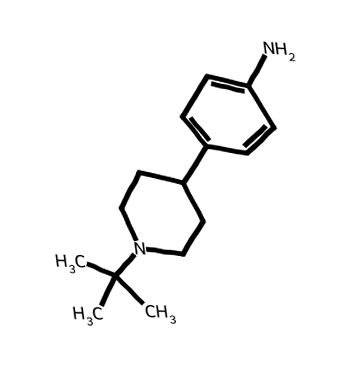 CC(C)(C)N1CCC(c2ccc(N)cc2)CC1